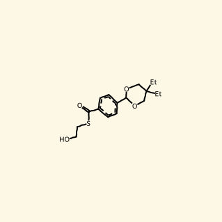 CCC1(CC)COC(c2ccc(C(=O)SCCO)cc2)OC1